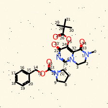 CN1CCn2c([C@@H]3CCCN3C(=O)OCc3ccccc3)nc(=O)c(OC(=O)C(C)(C)C)c2C1=O